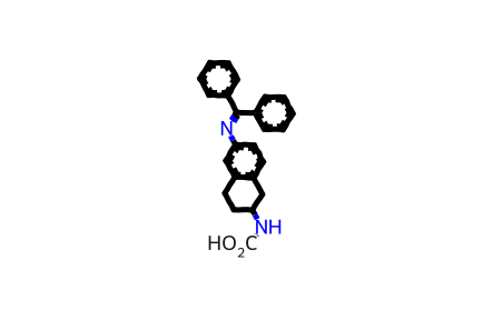 O=C(O)NC1CCc2cc(N=C(c3ccccc3)c3ccccc3)ccc2C1